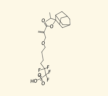 C=C(COCCCCC(F)(F)C(F)(F)S(=O)(=O)O)C(=O)OC1(C(C)C)C2CC3CC(C2)CC1C3